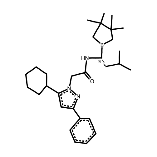 CC(C)C[C@H](NC(=O)Cn1nc(-c2ccccc2)cc1C1CCCCC1)B1CC(C)(C)C(C)(C)C1